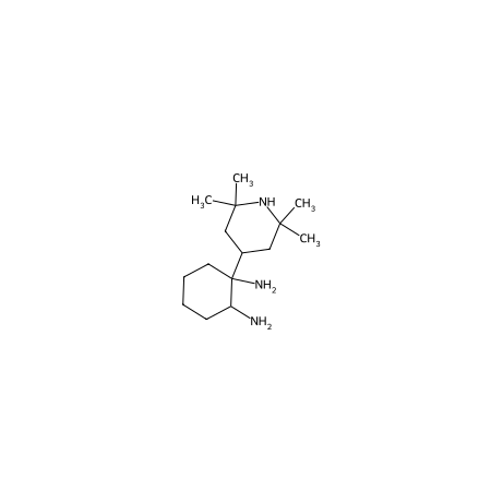 CC1(C)CC(C2(N)CCCCC2N)CC(C)(C)N1